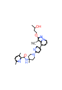 Cc1ccc(C)c(C(=O)NC2(C)CCN(c3ccc(-c4cccn5nc(OCCC(C)O)c(C#N)c45)cn3)CC2)n1